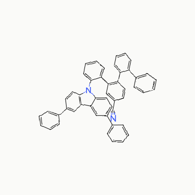 N#Cc1ccc(-c2ccccc2-c2ccccc2)c(-c2ccccc2-n2c3ccc(-c4ccccc4)cc3c3cc(-c4ccccc4)ccc32)c1